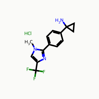 Cl.Cn1cc(C(F)(F)F)nc1-c1ccc(C2(N)CC2)cc1